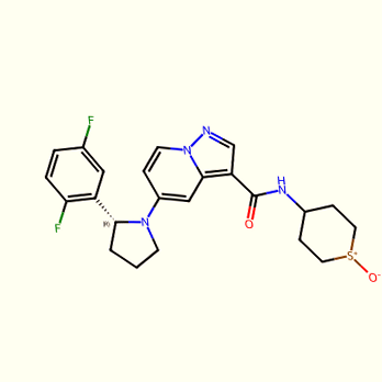 O=C(NC1CC[S+]([O-])CC1)c1cnn2ccc(N3CCC[C@@H]3c3cc(F)ccc3F)cc12